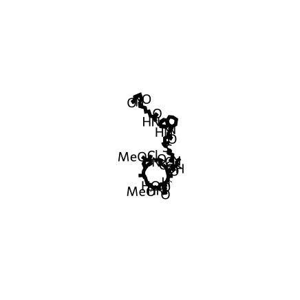 C=C1[C@H](C)[C@@H]2C[C@@](O)(NC(=O)O2)[C@H](OC)/C=C/C=C(\C)Cc2cc(OC)c(Cl)c(c2)N(C)C(=O)C[C@H](OC(=O)[C@H](C)N(C)C(=O)CCSSC(C)(C)CC(=O)N/N=C2/CCCCc3cc(NC(=O)CCCCCN4C(=O)C=CC4=O)ccc32)[C@]1(C)O